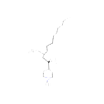 C=C(CC(CCCCCCCCC)CCCCCCCCC=O)C1CCN(C)CC1